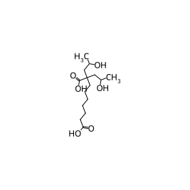 CC(O)CC(CCCCCCC(=O)O)(CC(C)O)C(=O)O